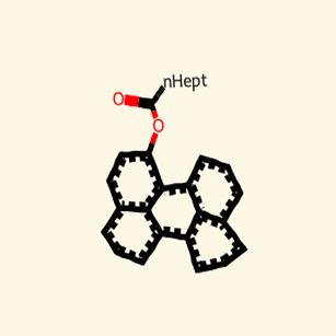 CCCCCCCC(=O)Oc1ccc2cccc3c4cccc5cccc(c1c23)c54